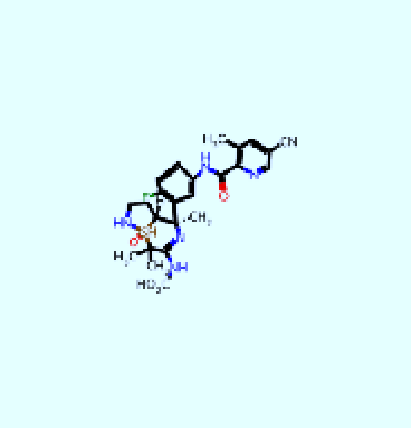 Cc1cc(C#N)cnc1C(=O)Nc1ccc(F)c([C@@]2(C)N=C(NC(=O)O)C(C)(C)[SH]3(=O)NCC[C@H]23)c1